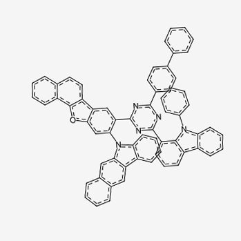 c1ccc(-c2ccc(-c3nc(-c4cc5c(cc4-n4c6ccccc6c6cc7ccccc7cc64)oc4c6ccccc6ccc54)nc(-c4cccc5c6ccccc6n(-c6ccccc6)c45)n3)cc2)cc1